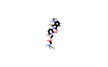 CNCC(=O)OCCN1C(=O)CCC(N2C(=O)c3cccc(NC)c3C2=O)C1=O